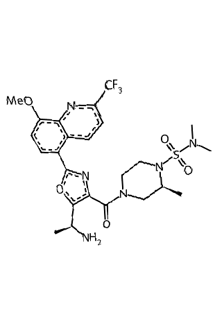 COc1ccc(-c2nc(C(=O)N3CCN(S(=O)(=O)N(C)C)[C@@H](C)C3)c([C@H](C)N)o2)c2ccc(C(F)(F)F)nc12